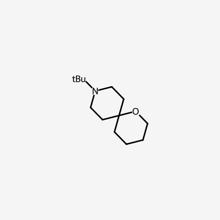 CC(C)(C)N1CCC2(CCCCO2)CC1